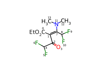 CCOC(=O)C(C(=O)C(F)F)=C(C(F)F)N(C)C